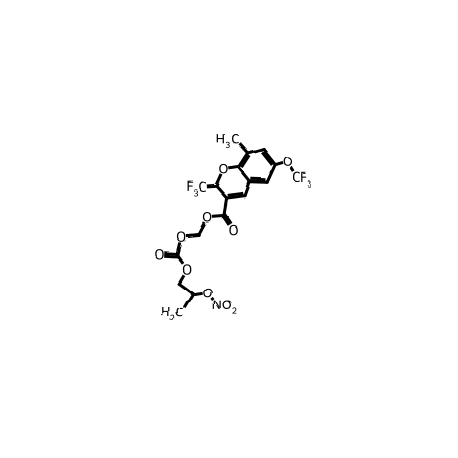 Cc1cc(OC(F)(F)F)cc2c1OC(C(F)(F)F)C(C(=O)OCOC(=O)OCC(C)O[N+](=O)[O-])=C2